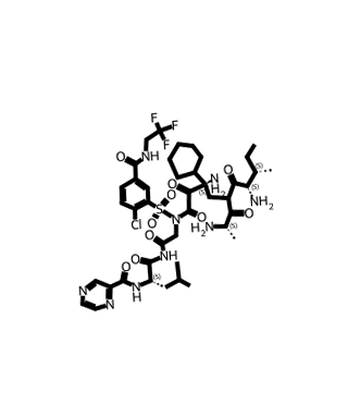 CC[C@H](C)[C@H](N)C(=O)C(C[C@@](N)(C(=O)C(=O)N(CC(=O)NC(=O)[C@H](CC(C)C)NC(=O)c1cnccn1)S(=O)(=O)c1cc(C(=O)NCC(F)(F)F)ccc1Cl)C1CCCCC1)C(=O)[C@H](C)N